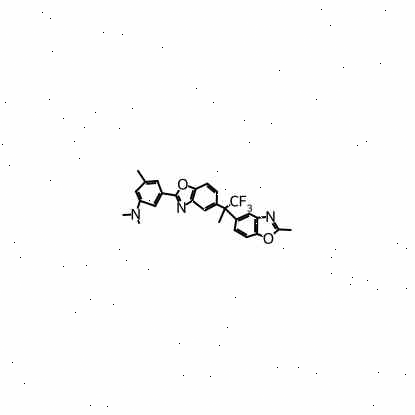 Cc1cc(-c2nc3cc(C(C)(c4ccc5oc(C)nc5c4)C(F)(F)F)ccc3o2)cc(N(C)C)c1